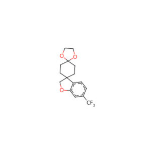 FC(F)(F)c1ccc2c(c1)OCC21CCC2(CC1)OCCO2